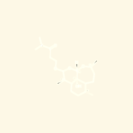 C[C@H]1C(OCCC(=O)N(C)C)O[C@@H]2O[C@@H](C)CCC3[C@H](C)CCC1[C@]32O